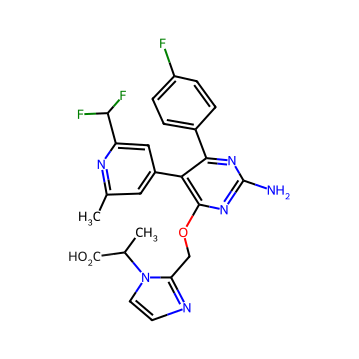 Cc1cc(-c2c(OCc3nccn3C(C)C(=O)O)nc(N)nc2-c2ccc(F)cc2)cc(C(F)F)n1